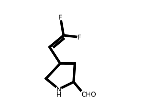 O=CC1CC(C=C(F)F)CN1